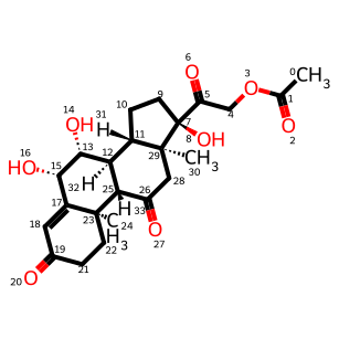 CC(=O)OCC(=O)[C@@]1(O)CC[C@H]2[C@@H]3[C@@H](O)[C@@H](O)C4=CC(=O)CC[C@]4(C)[C@H]3C(=O)C[C@@]21C